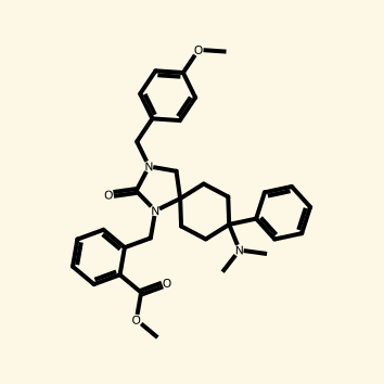 COC(=O)c1ccccc1CN1C(=O)N(Cc2ccc(OC)cc2)CC12CCC(c1ccccc1)(N(C)C)CC2